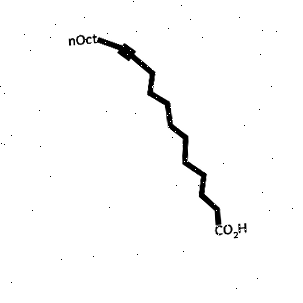 CCCCCCCCC#CCCCCCCCCCC(=O)O